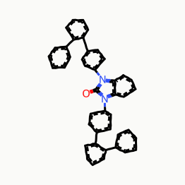 O=c1n(-c2ccc(-c3ccccc3-c3ccccc3)cc2)c2ccccc2n1-c1ccc(-c2ccccc2-c2ccccc2)cc1